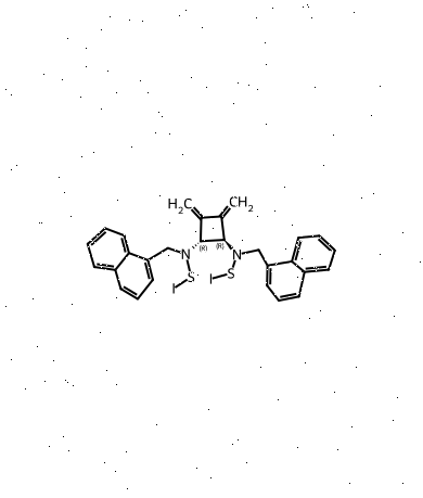 C=C1C(=C)[C@@H](N(Cc2cccc3ccccc23)SI)[C@@H]1N(Cc1cccc2ccccc12)SI